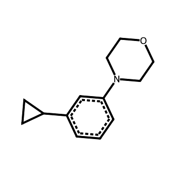 c1cc(C2CC2)cc(N2CCOCC2)c1